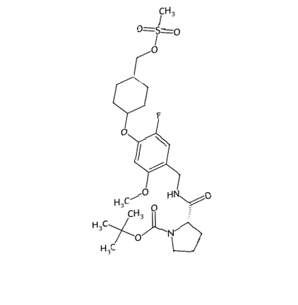 COc1cc(OC2CCC(COS(C)(=O)=O)CC2)c(F)cc1CNC(=O)[C@@H]1CCCN1C(=O)OC(C)(C)C